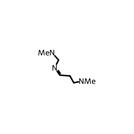 CNCC/C=N\CNC